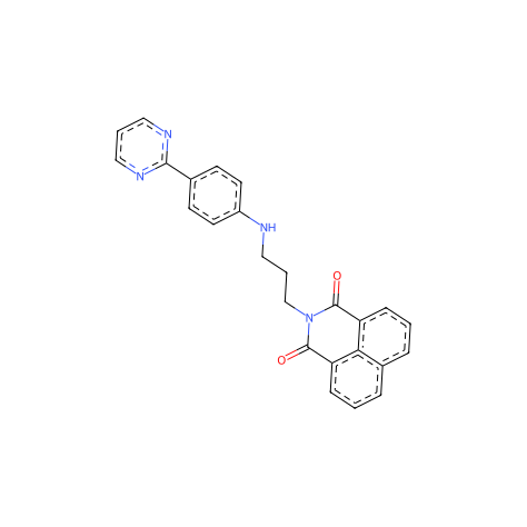 O=C1c2cccc3cccc(c23)C(=O)N1CCCNc1ccc(-c2ncccn2)cc1